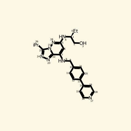 CC[C@@H](CO)Nc1cc(NCc2ccc(-c3ccncc3)cc2)c2nnc(C(C)C)n2n1